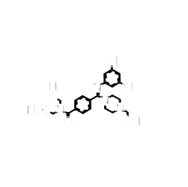 CCN1CCN(/C(=N\c2cc(Cl)cc(Cl)c2)c2ccc(C(=O)N(CC)CC)cc2)CC1